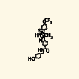 Cn1c(Nc2nc3ccc(OC(F)(F)F)cc3s2)nc2cc(C(=O)NCc3ccc(O)cc3)ccc21